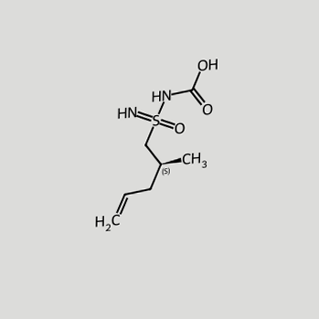 C=CC[C@H](C)CS(=N)(=O)NC(=O)O